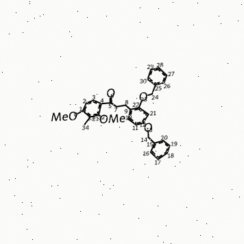 COc1ccc(C(=O)CCc2ccc(OCc3ccccc3)cc2OCc2ccccc2)c(OC)c1C